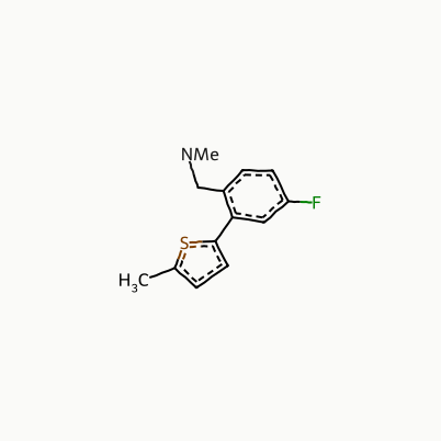 CNCc1ccc(F)cc1-c1ccc(C)s1